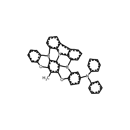 Cc1c2c3c4c5c1Oc1ccc(N(c6ccccc6)c6ccccc6)cc1B5c1cccc5c6cccc(c6n-4c15)B3c1ccccc1O2